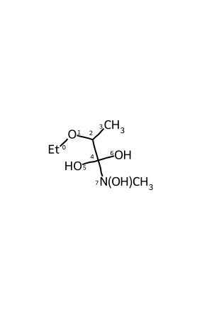 CCOC(C)C(O)(O)N(C)O